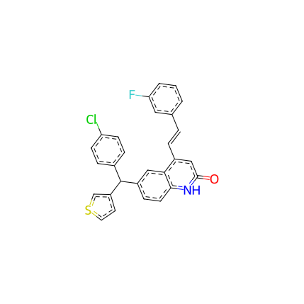 O=c1cc(/C=C/c2cccc(F)c2)c2cc(C(c3ccc(Cl)cc3)c3ccsc3)ccc2[nH]1